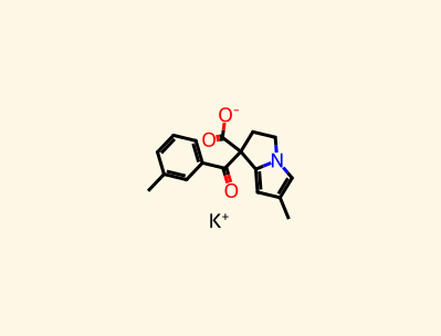 Cc1cccc(C(=O)C2(C(=O)[O-])CCn3cc(C)cc32)c1.[K+]